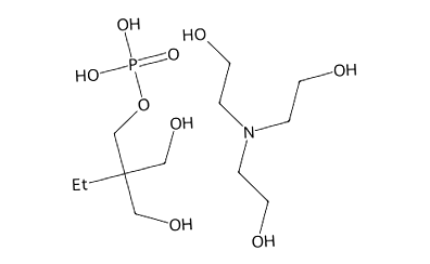 CCC(CO)(CO)COP(=O)(O)O.OCCN(CCO)CCO